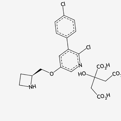 Clc1ccc(-c2cc(OC[C@@H]3CCN3)cnc2Cl)cc1.O=C(O)CC(O)(CC(=O)O)C(=O)O